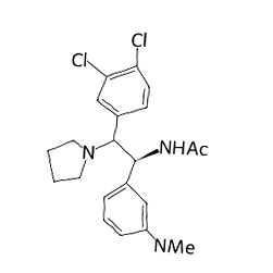 CNc1cccc([C@H](NC(C)=O)C(c2ccc(Cl)c(Cl)c2)N2CCCC2)c1